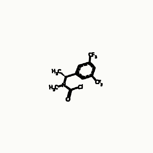 C[C@H](c1cc(C(F)(F)F)cc(C(F)(F)F)c1)N(C)C(=O)Cl